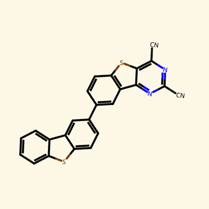 N#Cc1nc(C#N)c2sc3ccc(-c4ccc5sc6ccccc6c5c4)cc3c2n1